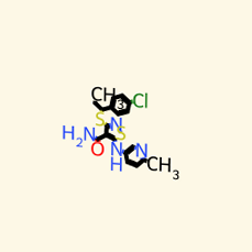 CCC(Sc1nsc(Nc2ccc(C)nc2)c1C(N)=O)c1ccc(Cl)cc1